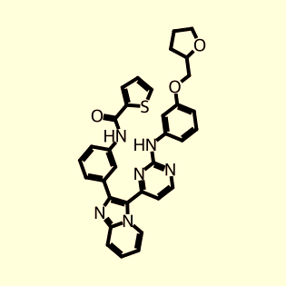 O=C(Nc1cccc(-c2nc3ccccn3c2-c2ccnc(Nc3cccc(OCC4CCCO4)c3)n2)c1)c1cccs1